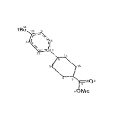 COC(=O)C1CCC(c2ccc(C(C)(C)C)cc2)CC1